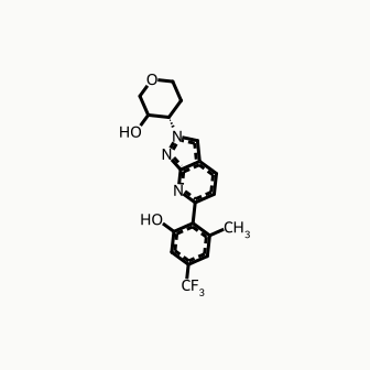 Cc1cc(C(F)(F)F)cc(O)c1-c1ccc2cn([C@H]3CCOCC3O)nc2n1